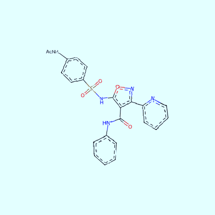 CC(=O)Nc1ccc(S(=O)(=O)Nc2onc(-c3ccccn3)c2C(=O)Nc2ccccc2)cc1